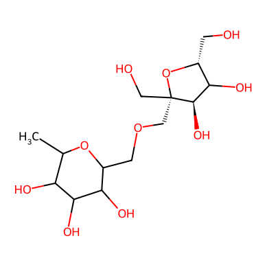 CC1OC(COC[C@]2(CO)O[C@H](CO)C(O)[C@H]2O)C(O)C(O)C1O